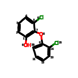 Oc1cccc(Cl)c1Oc1ccccc1Cl